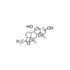 CC(=O)C1CCC2C3C(CCC12C)C1(C)CC[C@H](O)CC1=C[C@H]3O